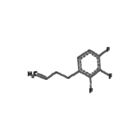 C=CCCc1ccc(F)c(F)c1F